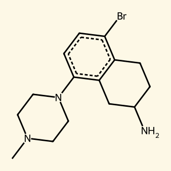 CN1CCN(c2ccc(Br)c3c2CC(N)CC3)CC1